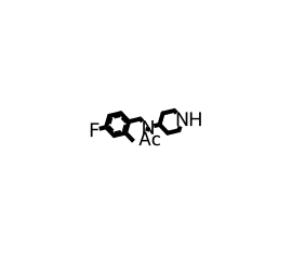 CC(=O)N(Cc1ccc(F)cc1C)C1CCNCC1